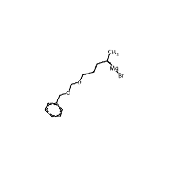 C[CH](CCCOCOCc1ccccc1)[Mg][Br]